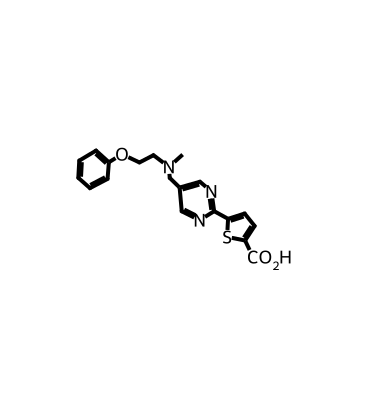 CN(CCOc1ccccc1)Cc1cnc(-c2ccc(C(=O)O)s2)nc1